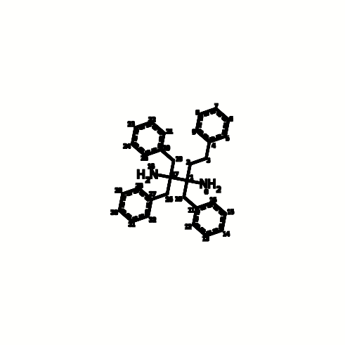 NC(CCc1ccccc1)(Cc1ccccc1)C(N)(Cc1ccccc1)Cc1ccccc1